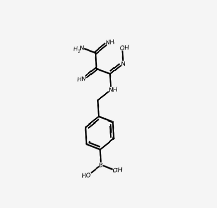 N=C(N)C(=N)/C(=N\O)NCc1ccc(B(O)O)cc1